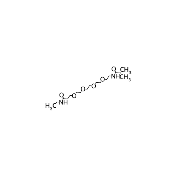 CCNC(=O)CCOCCOCCOCCOCCNC(=O)C(C)C